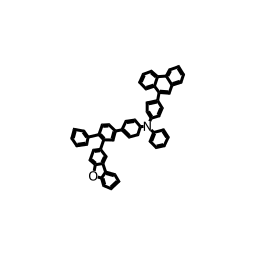 C1=CC(N(c2ccccc2)c2ccc(-c3cc4ccccc4c4ccccc34)cc2)CC=C1c1ccc(-c2ccccc2)c(-c2ccc3oc4ccccc4c3c2)c1